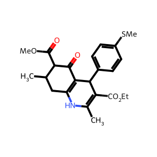 CCOC(=O)C1=C(C)NC2=C(C(=O)C(C(=O)OC)C(C)C2)C1c1ccc(SC)cc1